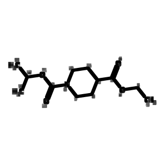 CCOC(=O)C1CCN(C(=O)OC(C)C)CC1